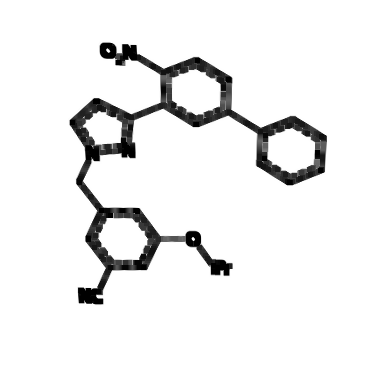 CC(C)Oc1cc(C#N)cc(Cn2ccc(-c3cc(-c4ccccc4)ccc3[N+](=O)[O-])n2)c1